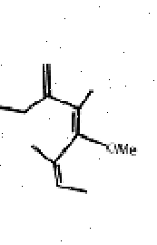 C=C(CCl)/C(C)=C(OC)\C(C)=C/C